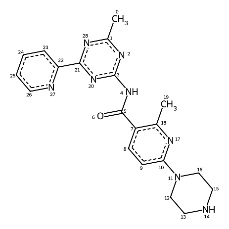 Cc1nc(NC(=O)c2ccc(N3CCNCC3)nc2C)nc(-c2ccccn2)n1